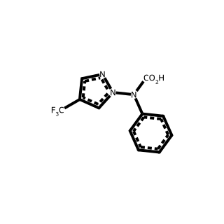 O=C(O)N(c1ccccc1)n1cc(C(F)(F)F)cn1